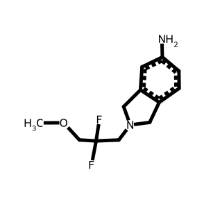 COCC(F)(F)CN1Cc2ccc(N)cc2C1